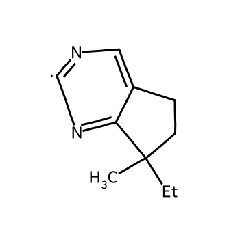 CCC1(C)CCc2cn[c]nc21